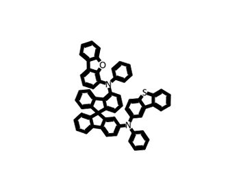 c1ccc(N(c2ccc3c(c2)C2(c4ccccc4-3)c3ccccc3-c3c(N(c4ccccc4)c4cccc5c4oc4ccccc45)cccc32)c2ccc3sc4ccccc4c3c2)cc1